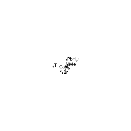 CNBr.[CaH2].[PbH2].[Ti]